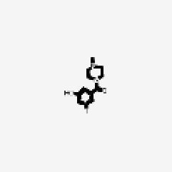 CN1CCN(C(=O)c2cc(O)cc(I)c2)CC1